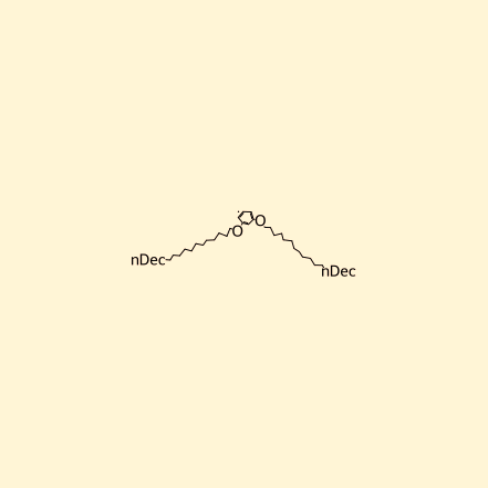 CCCCCCCCCCCCCCCCCCCCCCOc1c[c]cc(OCCCCCCCCCCCCCCCCCCCCCC)c1